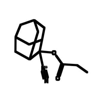 CCC(=O)OC1([N+]#N)C2CC3CC(C2)CC1C3